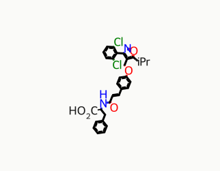 CC(C)c1onc(-c2c(Cl)cccc2Cl)c1COc1ccc(C=CC(=O)N[C@@H](Cc2ccccc2)C(=O)O)cc1